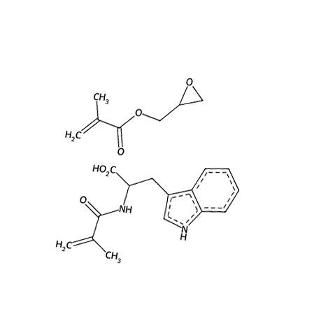 C=C(C)C(=O)NC(Cc1c[nH]c2ccccc12)C(=O)O.C=C(C)C(=O)OCC1CO1